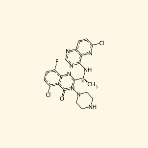 C[C@H](Nc1ncnc2ccc(Cl)nc12)c1nc2c(F)ccc(Cl)c2c(=O)n1N1CCNCC1